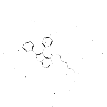 COc1ccc(-c2c(-c3ccccc3)oc3ncnc(O[C@H](C)CCCCC(=O)O)c23)cc1